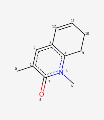 Cc1cc2c(n(C)c1=O)CCC=C2